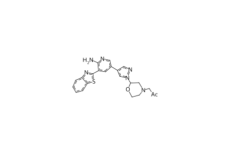 CC(=O)CN1CCOC(n2cc(-c3cnc(N)c(-c4nc5ccccc5s4)c3)cn2)C1